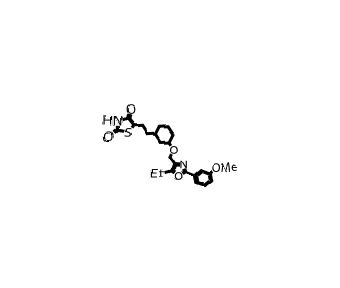 CCc1oc(-c2cccc(OC)c2)nc1COC1CCCC(CCC2SC(=O)NC2=O)C1